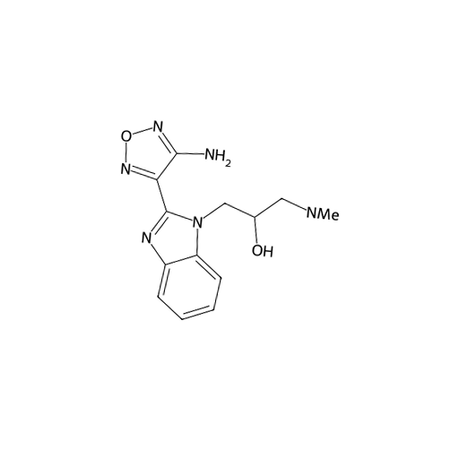 CNCC(O)Cn1c(-c2nonc2N)nc2ccccc21